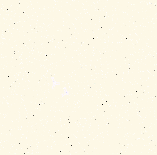 Cc1nc2c(CCc3c(F)cccc3F)cc(CF)cn2c1C